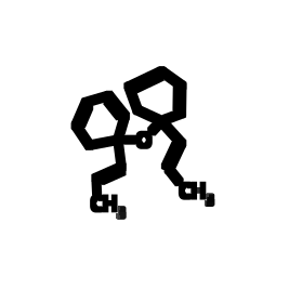 CC=CC1(OC2(C=CC)C=CC=CC2)C=CC=CC1